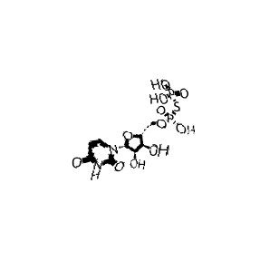 O=c1ccn([C@@H]2O[C@H](COP(=O)(O)SP(=O)(O)O)[C@@H](O)[C@H]2O)c(=O)[nH]1